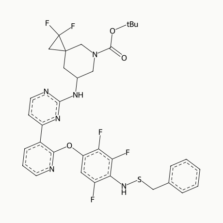 CC(C)(C)OC(=O)N1CC(Nc2nccc(-c3cccnc3Oc3cc(F)c(NSCc4ccccc4)c(F)c3F)n2)CC2(C1)CC2(F)F